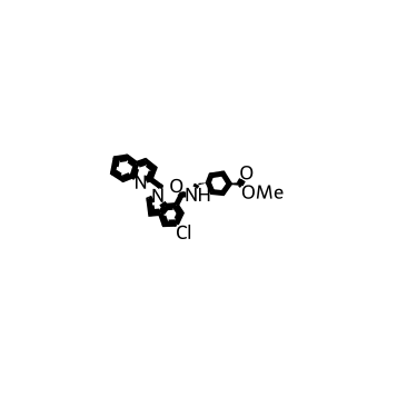 COC(=O)[C@H]1CC[C@H](CNC(=O)c2cc(Cl)cc3ccn(Cc4ccc5ccccc5n4)c23)CC1